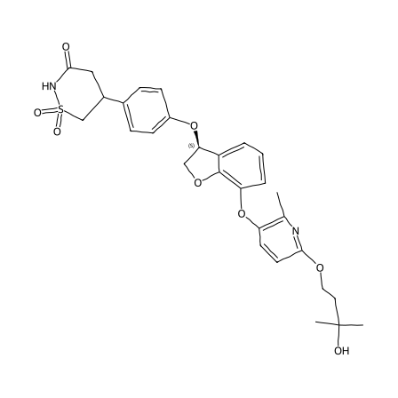 Cc1nc(OCCC(C)(C)O)ccc1Oc1cccc2c1OC[C@H]2Oc1ccc(C2CC(=O)NS(=O)(=O)C2)cc1